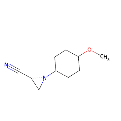 COC1CCC(N2CC2C#N)CC1